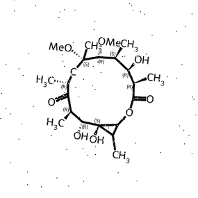 CO[C@@H]1[C@@H](C)[C@@H](O)[C@@H](C)C(=O)OC2C(C)[C@]2(O)[C@H](O)[C@@H](C)C(=O)[C@H](C)C[C@]1(C)OC